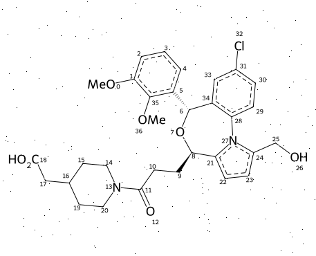 COc1cccc([C@H]2O[C@H](CCC(=O)N3CCC(CC(=O)O)CC3)c3ccc(CO)n3-c3ccc(Cl)cc32)c1OC